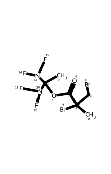 CC(Br)(CBr)C(=O)OC(C)(N(F)F)N(F)F